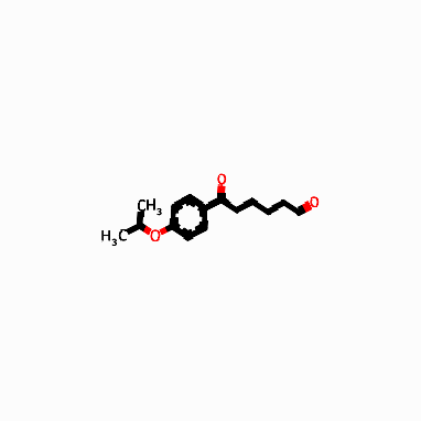 CC(C)Oc1ccc(C(=O)CCCCC=O)cc1